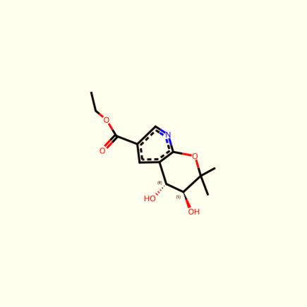 CCOC(=O)c1cnc2c(c1)[C@@H](O)[C@H](O)C(C)(C)O2